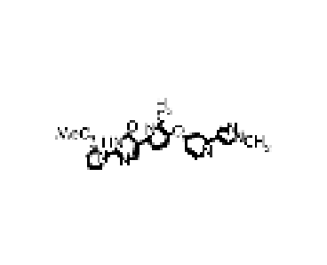 COC[C@H]1CCCN1c1ncc(-c2ccc(Oc3ccnc(-c4cnn(C)c4)c3)c(C)n2)c(=O)[nH]1